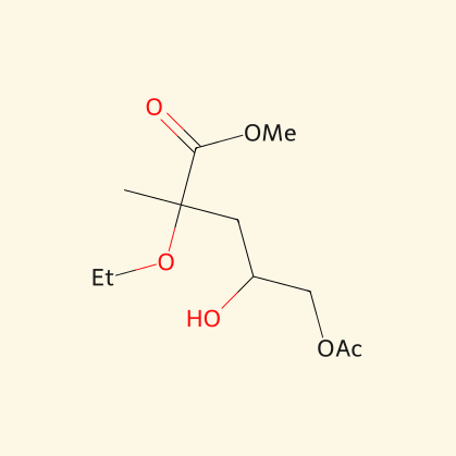 CCOC(C)(CC(O)COC(C)=O)C(=O)OC